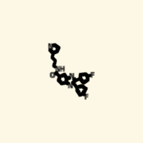 O=C(NCCCc1cccnc1)c1ccc2nc(-c3ccc(F)cc3)c(-c3ccc(F)cc3)nc2c1